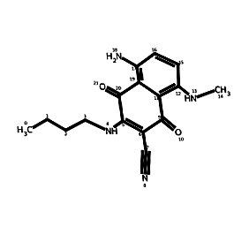 CCCCNC1=C(C#N)C(=O)c2c(NC)ccc(N)c2C1=O